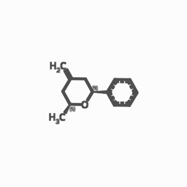 C=C1C[C@@H](c2ccccc2)O[C@@H](C)C1